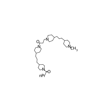 CCCC(=O)N1CCC(CCCC2CCN(C(=O)CCN3CCC(CCCC4CCN(C)CC4)CC3)CC2)CC1